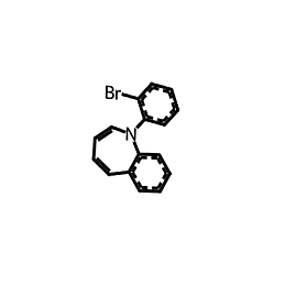 Brc1ccccc1N1C=CC=Cc2ccccc21